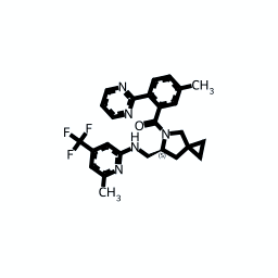 Cc1ccc(-c2ncccn2)c(C(=O)N2CC3(CC3)C[C@H]2CNc2cc(C(F)(F)F)cc(C)n2)c1